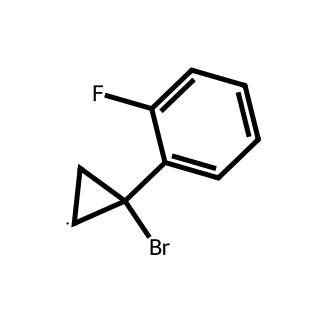 Fc1ccccc1C1(Br)[CH]C1